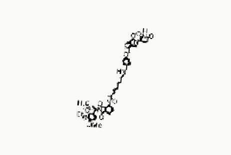 CCOc1cc(C(C[S+](C)[O-])N2C(=O)c3cccc(NC(=O)CCCCCCCCNCc4ccc(OCc5scc6c5CN(C5CCC(=O)NC5=O)C6=O)cc4)c3C2=O)ccc1OC